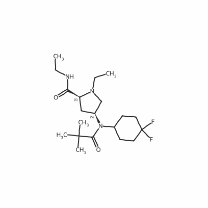 CCNC(=O)[C@@H]1C[C@H](N(C(=O)C(C)(C)C)C2CCC(F)(F)CC2)CN1CC